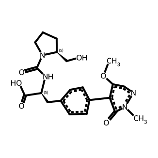 COc1cnn(C)c(=O)c1-c1ccc(C[C@H](NC(=O)N2CCC[C@H]2CO)C(=O)O)cc1